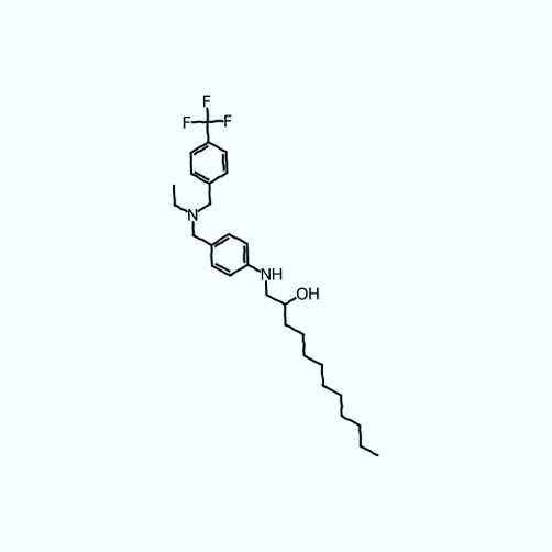 CCCCCCCCCCC(O)CNc1ccc(CN(CC)Cc2ccc(C(F)(F)F)cc2)cc1